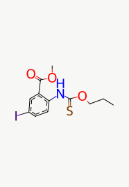 CCCOC(=S)Nc1ccc(I)cc1C(=O)OC